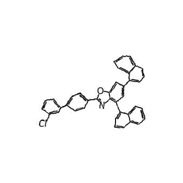 Clc1cccc(-c2ccc(-c3nc4c(-c5cccc6ccccc56)cc(-c5cccc6ccccc56)cc4o3)cc2)c1